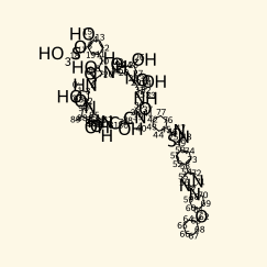 C[C@@H](O)[C@@H]1NC(=O)[C@H]([C@H](O)Cc2ccc(O)c(OS(=O)(=O)O)c2)NC(=O)[C@@H]2C[C@@H](O)CN2C(=O)[C@H]([C@@H](C)O)NC(=O)[C@@H](N(C)C[C@H]2CC[C@H](c3nnc(-c4ccc(-c5cnc(N6CCC(OC7CCCCC7)CC6)nc5)cc4)s3)CC2)C[C@@H](O)CNC(=O)[C@@H]2[C@@H](O)[C@@H](C)CN2C1=O